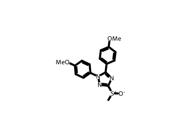 COc1ccc(-c2nc([S+](C)[O-])nn2-c2ccc(OC)cc2)cc1